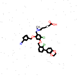 CN(CCCCCC(=O)O)Cc1cc(Cl)c(OCc2cccc(-c3ccc4c(c3)OCCO4)c2Br)cc1OCc1cccc(C#N)c1